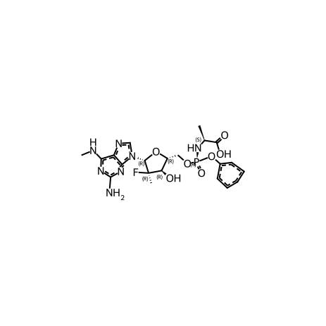 CNc1nc(N)nc2c1ncn2[C@@H]1O[C@H](CO[P@](=O)(N[C@@H](C)C(=O)O)Oc2ccccc2)[C@@H](O)[C@@]1(C)F